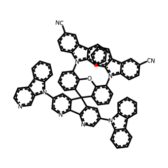 N#Cc1ccc2c(c1)c1ccccc1n2-c1cccc2c1Oc1c(-n3c4ccccc4c4cc(C#N)ccc43)cccc1C21c2cc(-n3c4ccccc4c4ccccc43)cnc2-c2ncc(-n3c4ccccc4c4ccncc43)cc21